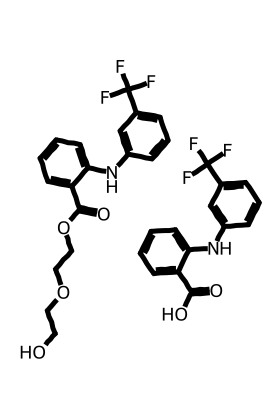 O=C(O)c1ccccc1Nc1cccc(C(F)(F)F)c1.O=C(OCCOCCO)c1ccccc1Nc1cccc(C(F)(F)F)c1